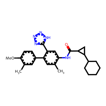 COc1ccc(-c2cc(C)c(NC(=O)C3CC3C3CCCCC3)cc2-c2nnn[nH]2)cc1C